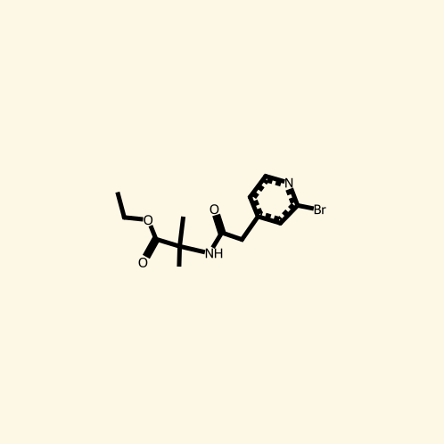 CCOC(=O)C(C)(C)NC(=O)Cc1ccnc(Br)c1